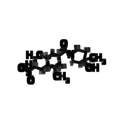 Cc1cc(C(=O)N2CCC(C)(O)CC2)cc(C)c1CC[SH](=O)=O